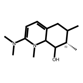 CC1CC2=CC=C(N(C)C)N(C)C2C(O)[C@H]1C